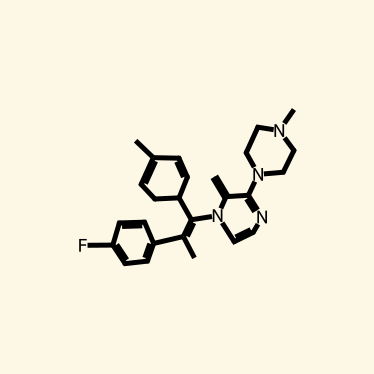 C=C1C(N2CCN(C)CC2)=NC=CN1/C(=C(\C)c1ccc(F)cc1)C1C=CC(C)=CC1